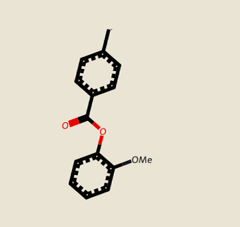 [CH2]c1ccc(C(=O)Oc2ccccc2OC)cc1